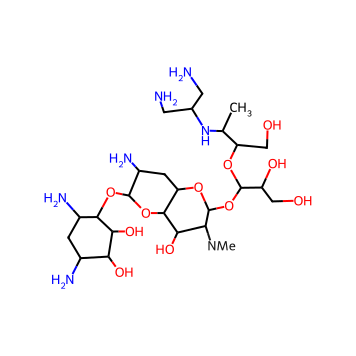 CNC1C(OC(OC(CO)C(C)NC(CN)CN)C(O)CO)OC2CC(N)C(OC3C(N)CC(N)C(O)C3O)OC2C1O